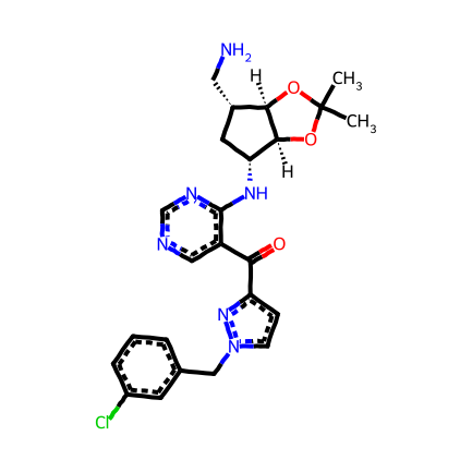 CC1(C)O[C@@H]2[C@@H](CN)C[C@@H](Nc3ncncc3C(=O)c3ccn(Cc4cccc(Cl)c4)n3)[C@@H]2O1